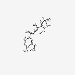 CC(C)(S)OC1C(O)COC(OCC(O)C(O)OC(CO)C(=O)O)C1O